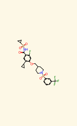 O=C(NS(=O)(=O)C1CC1)c1cc(C2CC2)c(OCC2CCN(S(=O)(=O)c3cccc(C(F)(F)F)c3)CC2)cc1F